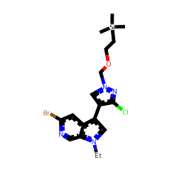 CCn1cc(-c2cn(COCC[Si](C)(C)C)nc2Cl)c2cc(Br)ncc21